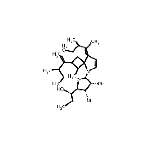 C=C(C(C)CC)C1CC2(/C(=C(/C)C(C)CC)C=CN2[C@@H]2O[C@H]([C@H](O)CC)[C@@H](O)[C@H]2O)C1C